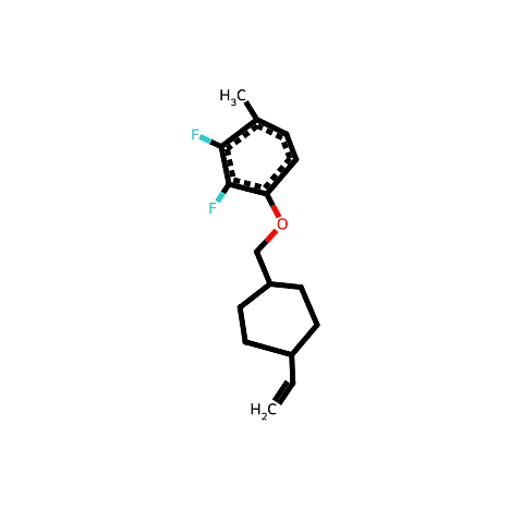 C=CC1CCC(COc2ccc(C)c(F)c2F)CC1